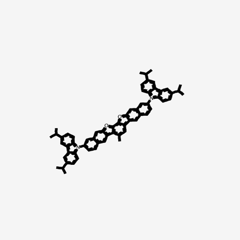 Cc1cc2c3cc4ccc(-n5c6ccc(C(C)C)cc6c6cc(C(C)C)ccc65)cc4cc3oc2c2oc3cc4cc(-n5c6ccc(C(C)C)cc6c6cc(C(C)C)ccc65)ccc4cc3c12